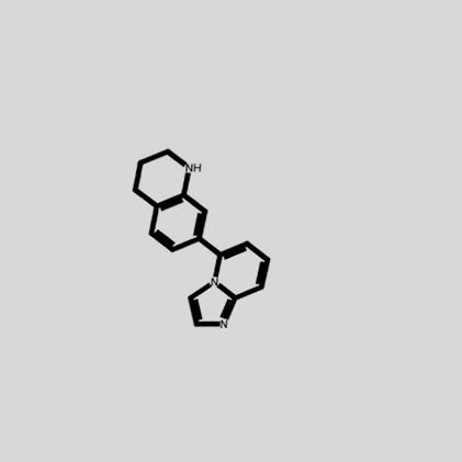 c1cc(-c2ccc3c(c2)NCCC3)n2ccnc2c1